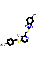 COc1ccc(CSc2ccnc(CSc3nc4cc(C(F)(F)F)ccc4[nH]3)c2C)cc1